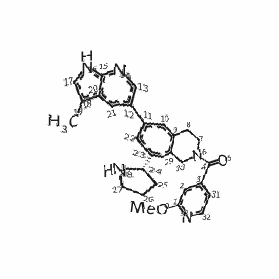 COc1cc(C(=O)N2CCc3cc(-c4cnc5[nH]cc(C)c5c4)cc([C@@H]4CCCN4)c3C2)ccn1